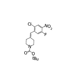 CC(C)(C)OC(=O)N1CCC(=Cc2cc(F)c([N+](=O)[O-])cc2Cl)CC1